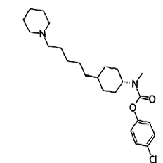 CN(C(=O)Oc1ccc(Cl)cc1)[C@H]1CC[C@H](CCCCCN2CCCCC2)CC1